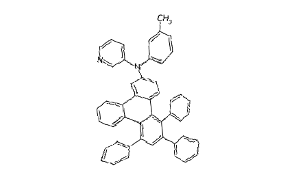 Cc1cccc(N(c2cccnc2)c2ccc3c(c2)c2ccccc2c2c(-c4ccccc4)cc(-c4ccccc4)c(-c4ccccc4)c32)c1